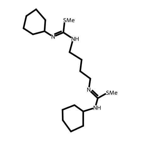 CS/C(=N\C1CCCCC1)NCCCC/N=C(/NC1CCCCC1)SC